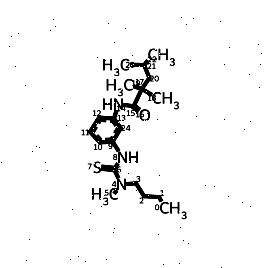 CCCCN(C)C(=S)Nc1cccc(NC(=O)C(C)(C)CC(C)C)c1